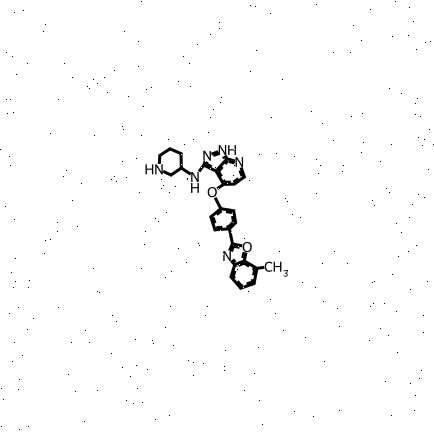 Cc1cccc2nc(-c3ccc(Oc4ccnc5[nH]nc(NC6CCCNC6)c45)cc3)oc12